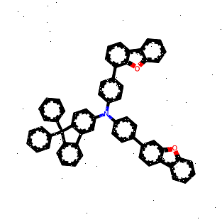 c1ccc(C2(c3ccccc3)c3ccccc3-c3cc(N(c4ccc(-c5ccc6c(c5)oc5ccccc56)cc4)c4ccc(-c5cccc6c5oc5ccccc56)cc4)ccc32)cc1